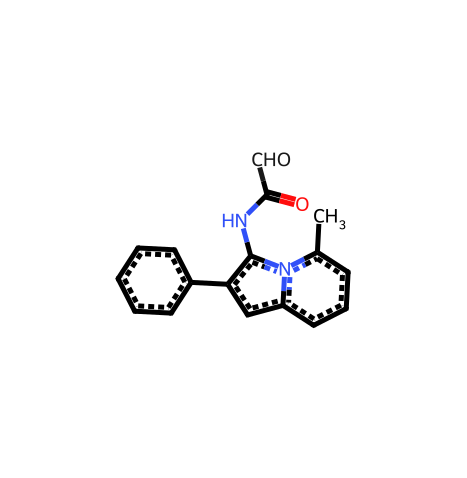 Cc1cccc2cc(-c3ccccc3)c(NC(=O)C=O)n12